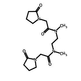 CN(CCN(C)C(=O)CN1CCCC1=O)C(=O)CN1CCCC1=O